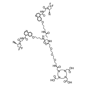 N#CC1CC(F)(F)CN1C(=O)CNC(=O)c1ccnc2ccc(OCCCCNC(=O)CC[C@H](NC(=O)CCOCCOCCOCCNC(=O)CN3CCN(CC(=O)O)CCN(CC(=O)O)CCN(CC(=O)O)CC3)C(=O)NCCCCOc3ccc4nccc(C(=O)NCC(=O)N5CC(F)(F)C[C@H]5C#N)c4c3)cc12